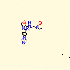 CCN(CCCNc1nc(-c2ccc(N3CCN(C)CC3)cc2)nc2c1COCC2)CCOC